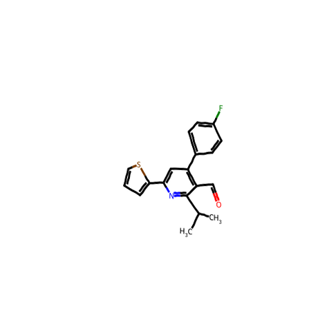 CC(C)c1nc(-c2cccs2)cc(-c2ccc(F)cc2)c1C=O